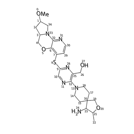 COC1CC2COc3c(Sc4cnc(N5CCC6(CC5)COC(C)C6N)c(CO)n4)ccnc3N2C1